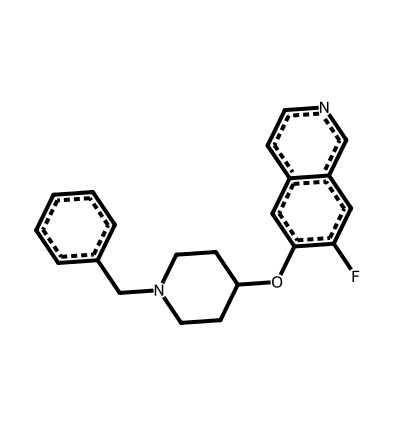 Fc1cc2cnccc2cc1OC1CCN(Cc2ccccc2)CC1